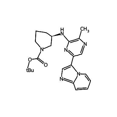 Cc1ncc(-c2cnc3ccccn23)nc1N[C@@H]1CCCN(C(=O)OC(C)(C)C)C1